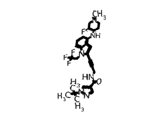 CN1CC[C@@H](Nc2cccc3c2cc(C#CCNC(=O)c2cnn(C(C)(C)C)c2)n3CC(F)(F)F)[C@@H](F)C1